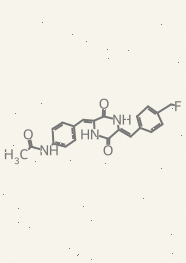 CC(=O)Nc1ccc(C=c2[nH]c(=O)c(=Cc3ccc(CF)cc3)[nH]c2=O)cc1